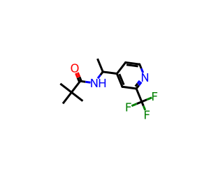 CC(NC(=O)C(C)(C)C)c1ccnc(C(F)(F)F)c1